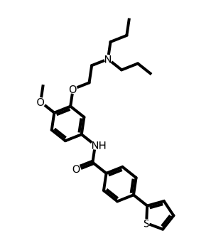 CCCN(CCC)CCOc1cc(NC(=O)c2ccc(-c3cccs3)cc2)ccc1OC